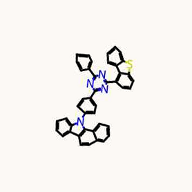 c1ccc(-c2nc(-c3ccc(-n4c5ccccc5c5ccc6ccccc6c54)cc3)nc(-c3cccc4sc5ccccc5c34)n2)cc1